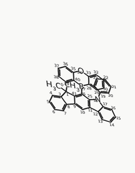 CC1(C)c2ccccc2-c2cc3c4ccccc4n(-c4ccccc4)c3c(B3c4ccccc4Oc4ccccc43)c21